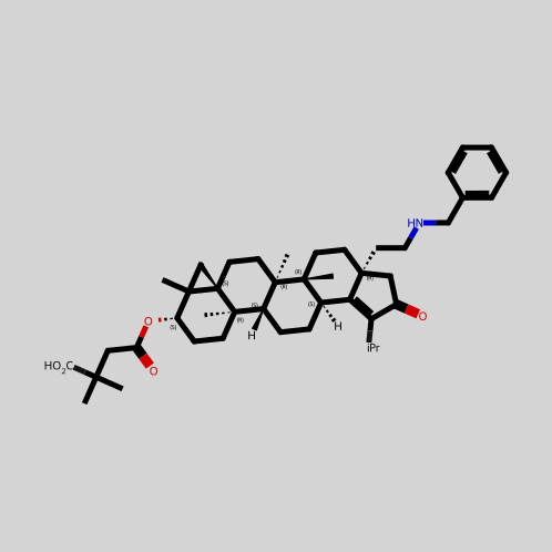 CC(C)C1=C2[C@H]3CC[C@@H]4[C@@]5(C)CC[C@H](OC(=O)CC(C)(C)C(=O)O)C6(C)C[C@]65CC[C@@]4(C)[C@]3(C)CC[C@@]2(CCNCc2ccccc2)CC1=O